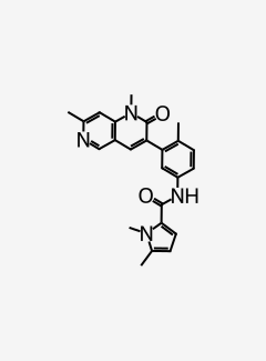 Cc1cc2c(cn1)cc(-c1cc(NC(=O)c3ccc(C)n3C)ccc1C)c(=O)n2C